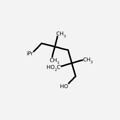 CC(C)CC(C)(C)CC(C)(CO)C(=O)O